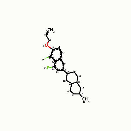 C=CCOc1ccc2cc(C3CCC4CC(C)CCC4C3)cc(F)c2c1F